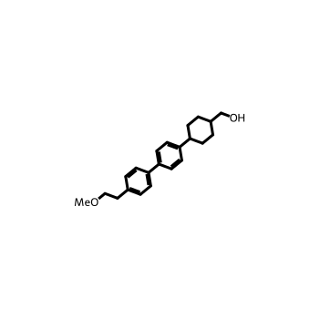 COCCc1ccc(-c2ccc(C3CCC(CO)CC3)cc2)cc1